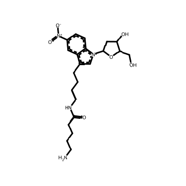 NCCCCC(=O)NCCCCc1cn(C2CC(O)C(CO)O2)c2ccc([N+](=O)[O-])cc12